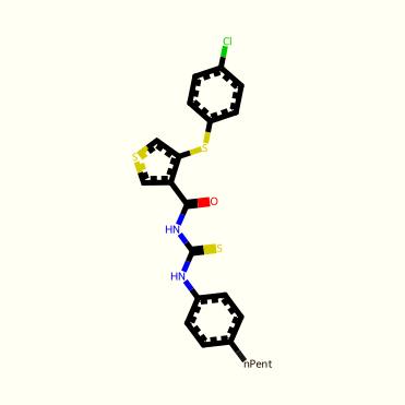 CCCCCc1ccc(NC(=S)NC(=O)c2cscc2Sc2ccc(Cl)cc2)cc1